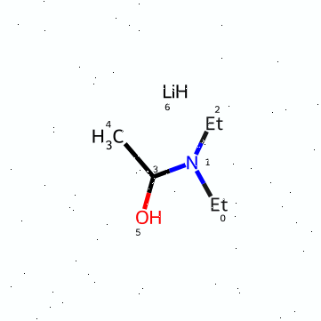 CCN(CC)C(C)O.[LiH]